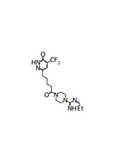 CC/C=N\C(=N)N1CCN(C(=O)CCCCc2cc(C(F)(F)F)c(=O)[nH]n2)CC1